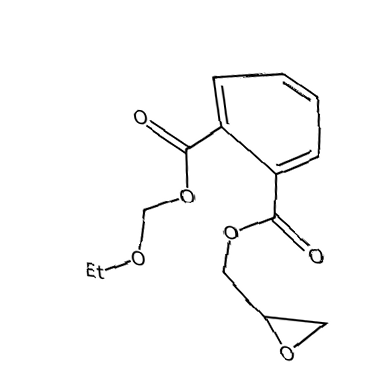 CCOCOC(=O)c1ccccc1C(=O)OCC1CO1